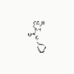 CC(NC(=O)OCc1ccccc1)C(=O)O